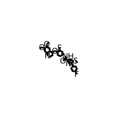 COc1cc2nccc(Oc3ccc(NC(=O)c4cc(SC)n(-c5ccc(F)cc5)n4)cc3F)c2cc1OC